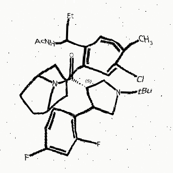 CCC(NC(C)=O)c1cc(C)c(Cl)cc1C1CC2CCC(C1)N2C(=O)[C@@H]1CN(C(C)(C)C)CC1c1ccc(F)cc1F